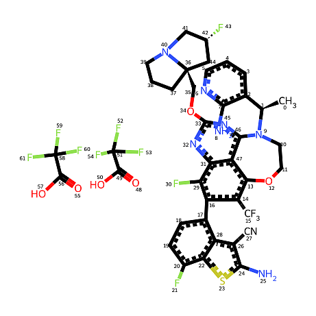 C[C@H](c1cccnc1N)N1CCOc2c(C(F)(F)F)c(-c3ccc(F)c4sc(N)c(C#N)c34)c(F)c3nc(OC[C@@]45CCCN4C[C@H](F)C5)nc1c23.O=C(O)C(F)(F)F.O=C(O)C(F)(F)F